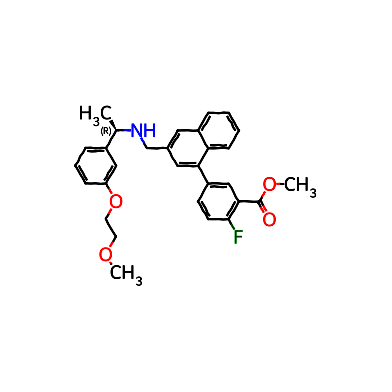 COCCOc1cccc([C@@H](C)NCc2cc(-c3ccc(F)c(C(=O)OC)c3)c3ccccc3c2)c1